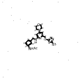 CCc1nnc(SCc2cc(N3CCOCC3)cc(NCc3cccc(NC(C)=O)c3)n2)s1